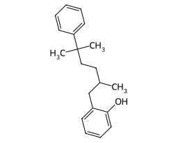 CC(CCC(C)(C)c1ccccc1)Cc1ccccc1O